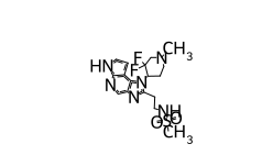 CN1CCC(n2c(CCNS(C)(=O)=O)nc3cnc4[nH]ccc4c32)C(F)(F)C1